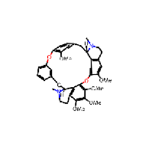 COc1cc2ccc1Oc1cccc(c1)C[C@H]1c3c(c(OC)c(OC)c(OC)c3Oc3cc4c(cc3OC)CCN(C)[C@H]4C2)CCN1C